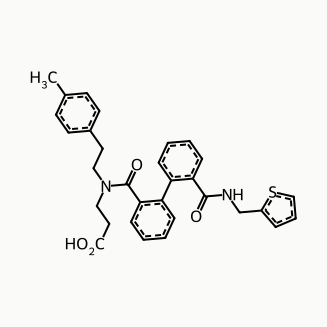 Cc1ccc(CCN(CCC(=O)O)C(=O)c2ccccc2-c2ccccc2C(=O)NCc2cccs2)cc1